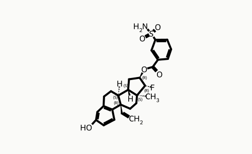 C=C[C@]12CC[C@]3(C)[C@@H](F)[C@H](OC(=O)c4cccc(S(N)(=O)=O)c4)C[C@H]3[C@@H]1CCc1cc(O)ccc12